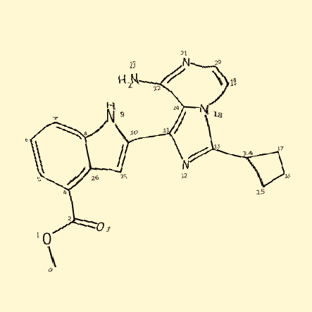 COC(=O)c1cccc2[nH]c(-c3nc(C4CCC4)n4ccnc(N)c34)cc12